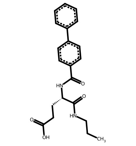 CCCNC(=O)[C@H](CCC(=O)O)NC(=O)c1ccc(-c2ccccc2)cc1